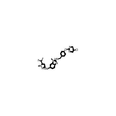 Cn1nc(Nc2ccc3nc(NCc4ccc(Oc5ncc(Cl)cn5)cc4)n(C)c3c2)cc1C(F)F